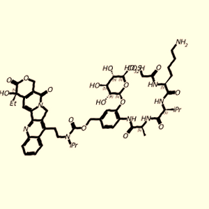 CC[C@@]1(O)C(=O)OCc2c1cc1n(c2=O)Cc2c-1nc1ccccc1c2CCN(C(=O)OCc1ccc(NC(=O)[C@H](C)NC(=O)[C@@H](NC(=O)[C@H](CCCCN)NC(=O)CS(=O)(=O)O)C(C)C)c(O[C@@H]2O[C@H](C(=O)O)[C@@H](O)[C@H](O)[C@H]2O)c1)C(C)C